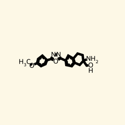 COc1ccc(-c2nnc(-c3ccc4c(c3)CCC(N)(CO)C4)o2)cc1